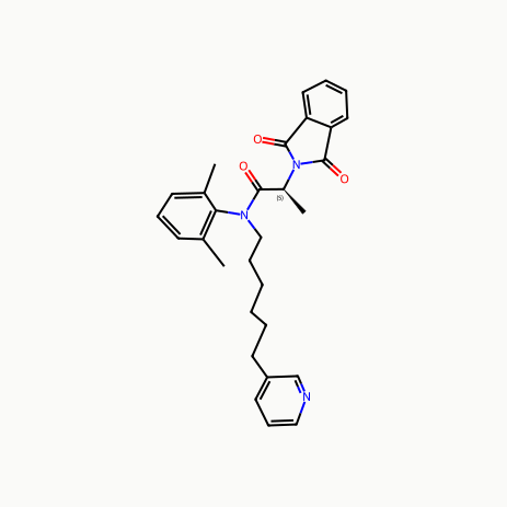 Cc1cccc(C)c1N(CCCCCCc1cccnc1)C(=O)[C@H](C)N1C(=O)c2ccccc2C1=O